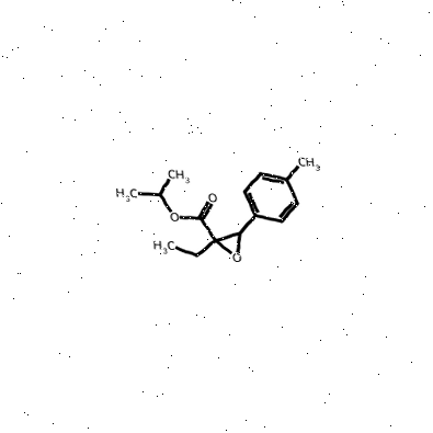 CCC1(C(=O)OC(C)C)OC1c1ccc(C)cc1